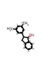 Cc1cc(C)cc(C2Cc3ccccc3C2O)c1